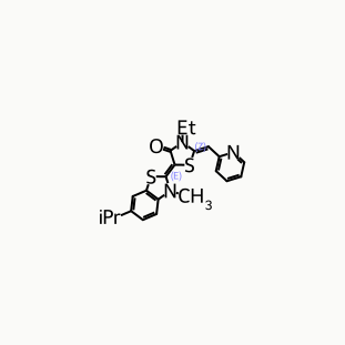 CCn1c(=O)/c(=C2\Sc3cc(C(C)C)ccc3N2C)s/c1=C\c1ccccn1